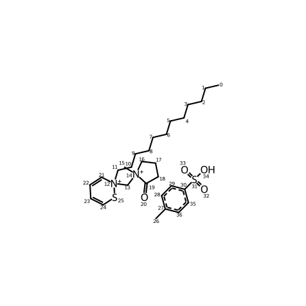 CCCCCCCCCCCC[N+]1(C[N+]2(C)CCCC2=O)C=CC=CS1.Cc1ccc(S(=O)(=O)O)cc1